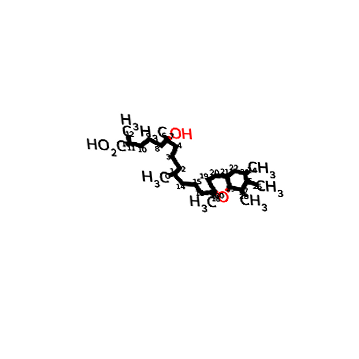 CC(CCCC(C)(O)CCCC(C)C(=O)O)CCCC1(C)CCC2CC(C)C(C)C(C)C2O1